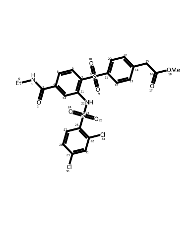 CCNC(=O)c1ccc(S(=O)(=O)c2ccc(CC(=O)OC)cc2)c(NS(=O)(=O)c2ccc(Cl)cc2Cl)c1